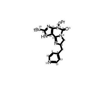 CCCN1C(=O)N2CC(Cc3ccncc3)N=C2c2[nH]c(C(C)(C)C)nc21